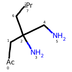 CC(=O)CC(N)(CN)CC(C)C